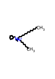 CCCCCCCCCCCCCCc1n(Cc2ccccc2)cc[n+]1CCCCCCCC